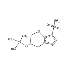 CC(C)(C)[Si](C)(C)OC1COc2c(S(N)(=O)=O)cnn2C1